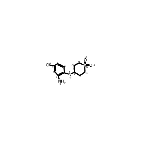 Nc1cc(Cl)ccc1NC1CCS(=O)(=O)CC1